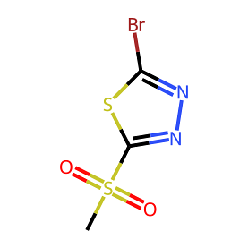 CS(=O)(=O)c1nnc(Br)s1